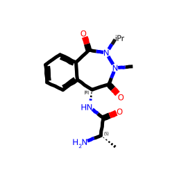 CC(C)N1C(=O)c2ccccc2[C@@H](NC(=O)[C@H](C)N)C(=O)N1C